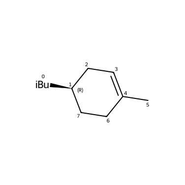 CCC(C)[C@H]1CC=C(C)CC1